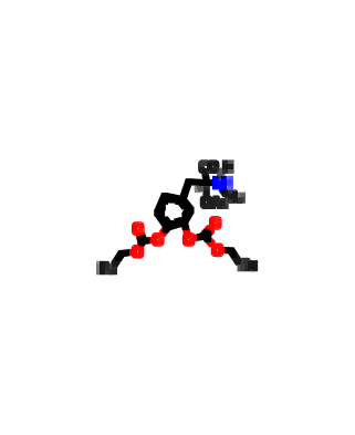 CCC(C)COC(=O)Oc1ccc(C[C@](NC(C)CC)(OC(C)=O)C(=O)O)cc1OC(=O)OCC(C)CC